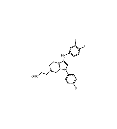 O=CCCN1CCN2C(Nc3ccc(F)c(F)c3)=CN(c3ccc(F)cc3)C2C1